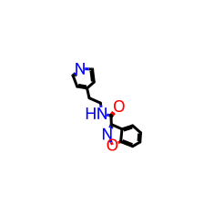 O=C(NCCc1ccncc1)c1noc2ccccc12